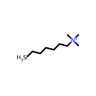 C[N+](C)(C)CCCCCC[SiH3]